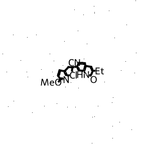 CCc1cc2ccc(C(C)(C#N)Cc3ccc(OC)nc3Cl)cc2[nH]c1=O